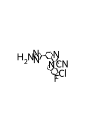 N#Cc1cnc2ccc(-c3cnc(N)nc3)cc2c1N1CCc2cc(F)c(Cl)cc21